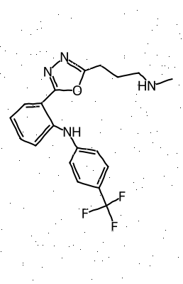 CNCCCc1nnc(-c2ccccc2Nc2ccc(C(F)(F)F)cc2)o1